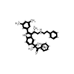 Cc1cc(C)cc(-c2[nH]c3ccc(C(C)(C)C(=O)N4CC5CCC4CC5)cc3c2[C@H](C)CNCCc2ccccc2)c1